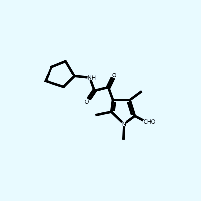 Cc1c(C(=O)C(=O)NC2CCCC2)c(C)n(C)c1C=O